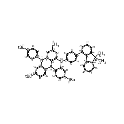 Cc1cc2c3c(c1)N(c1ccc(C(C)(C)C)cc1)c1cc(C(C)(C)C)ccc1B3c1ccc(C(C)(C)C)cc1N2c1ccc(-c2cccc3c2-c2ccccc2C3(C)C)cc1